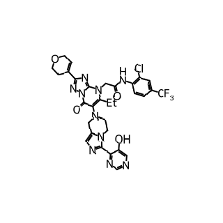 CCc1c(N2CCn3c(cnc3-c3ncncc3O)C2)c(=O)n2nc(C3=CCOCC3)nc2n1CC(=O)Nc1ccc(C(F)(F)F)cc1Cl